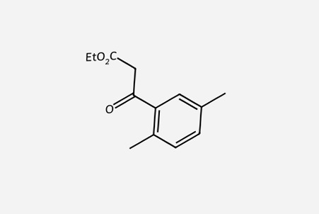 CCOC(=O)CC(=O)c1cc(C)ccc1C